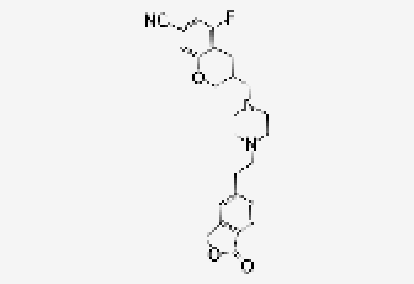 N#Cc1cc(F)c2c(c1)OCC(CN1CCN(CCc3ccc4c(c3)COC4=O)CC1)C2